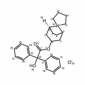 O=C(OC1CC2CC[C@@H](C1)[N+]21CCCC1)C(O)(c1ccccc1)c1ccccc1.[Cl-]